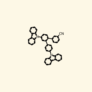 N#Cc1cccc(-c2ccc(-n3c4ccccc4c4ccccc43)cc2-c2ccc(-n3c4ccccc4c4ccccc43)cc2)c1